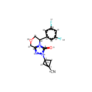 N#CC12CC(n3nc4n(c3=O)C(c3cc(F)cc(F)c3)COC4)(C1)C2